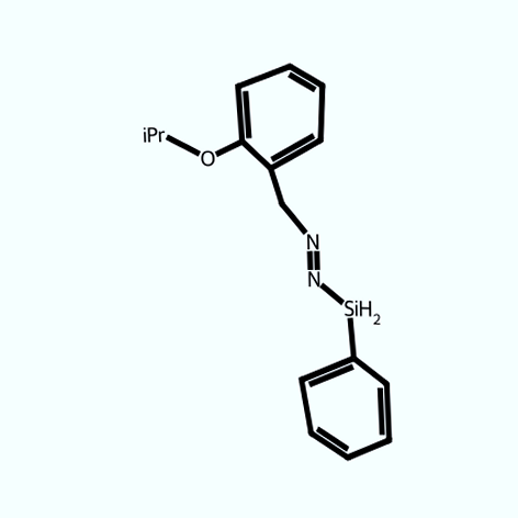 CC(C)Oc1ccccc1CN=N[SiH2]c1ccccc1